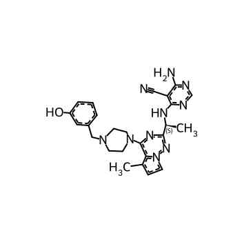 Cc1ccn2nc([C@H](C)Nc3ncnc(N)c3C#N)nc(N3CCN(Cc4cccc(O)c4)CC3)c12